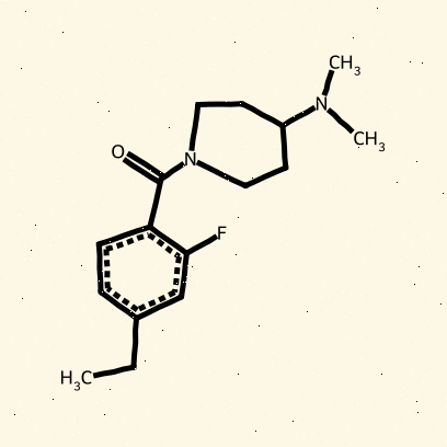 CCc1ccc(C(=O)N2CCC(N(C)C)CC2)c(F)c1